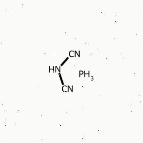 N#CNC#N.P